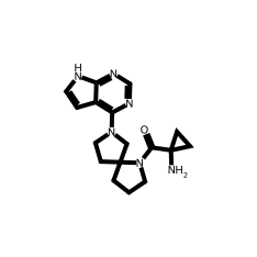 NC1(C(=O)N2CCCC23CCN(c2ncnc4[nH]ccc24)C3)CC1